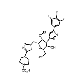 CCO[C@@H]1[C@@H](n2cc(-c3cc(F)c(F)c(F)c3)nn2)[C@@H](O)[C@@H](CO)O[C@@H]1CC1CC(C2CCN(C(=O)O)CC2)=NO1